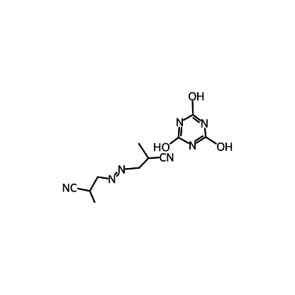 CC(C#N)CN=NCC(C)C#N.Oc1nc(O)nc(O)n1